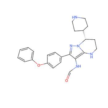 O=CNc1c(-c2ccc(Oc3ccccc3)cc2)nn2c1NCC[C@H]2C1CCNCC1